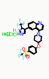 Cl.Cl.Cl.O=S(=O)(c1ccc(OC2CCN(c3ccnc4ccc(-c5c[nH]nc5C(F)(F)F)cc34)CC2)cc1)C(F)(F)F